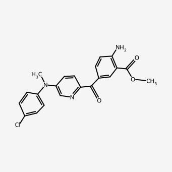 COC(=O)c1cc(C(=O)c2ccc(N(C)c3ccc(Cl)cc3)cn2)ccc1N